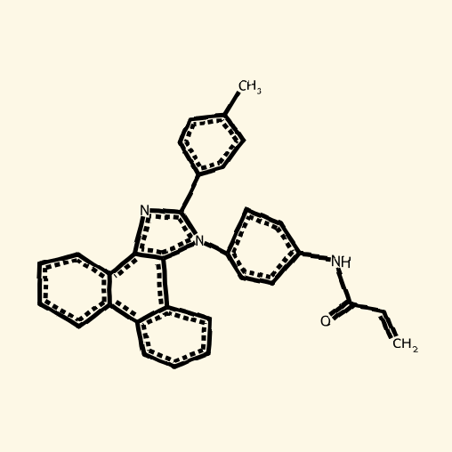 C=CC(=O)Nc1ccc(-n2c(-c3ccc(C)cc3)nc3c4ccccc4c4ccccc4c32)cc1